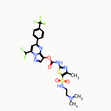 Cc1nc(NC(=O)Oc2cnn3c(C(F)F)cc(-c4ccc(C(F)(F)F)cc4)nc23)sc1S(=O)(=O)NCCN(C)C